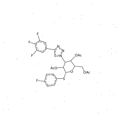 CC(=O)OCC1OC(Sc2ccc(F)cc2)C(OC(C)=O)C(n2cc(-c3cc(F)c(F)c(F)c3)nn2)C1OC(C)=O